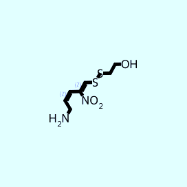 NC/C=C\C(=C\SSCCO)[N+](=O)[O-]